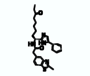 CCC(=O)CCCCC[C@H](NC(=O)Cc1ccc2sc(C)nc2c1)c1ncc(-c2ccccc2)[nH]1